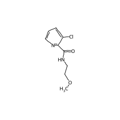 COCCNC(=O)c1ncccc1Cl